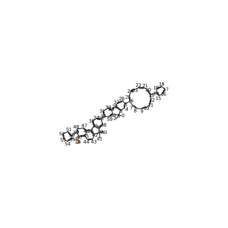 CC1(C)c2cc(-c3ccccccc(-c4ccccc4)cccccc3)ccc2-c2ccc(-c3ccc4c(c3)C(C)(C)c3ccc5c(ccc6c7ccccc7sc56)c3-4)cc21